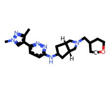 Cc1nn(C)cc1-c1ccc(NC2C[C@@H]3CN(CC4CCOCC4)C[C@@H]3C2)nn1